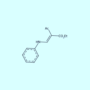 CCOC(=O)/C(=C/Nc1ccccc1)C(C)=O